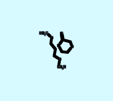 O=C(O)OCCCOC(=O)O.O=C1COCCO1